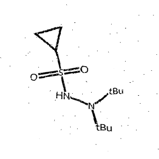 CC(C)(C)N(NS(=O)(=O)C1CC1)C(C)(C)C